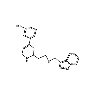 Oc1cccc(C2=CCNC(CCSCc3c[nH]c4ccccc34)C2)c1